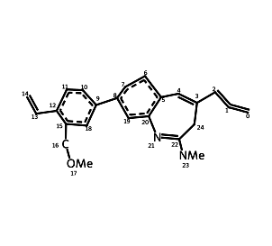 C=C=CC1=Cc2ccc(-c3ccc(C=C)c(COC)c3)cc2N=C(NC)C1